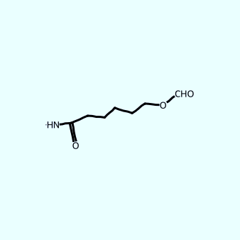 [NH]C(=O)CCCCCOC=O